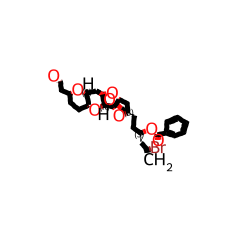 C=C(Br)C[C@H](CC[C@@]12CC3OC4C(O1)[C@H]1OC(CC=O)CCC1O[C@H]4C3O2)OC(=O)c1ccccc1